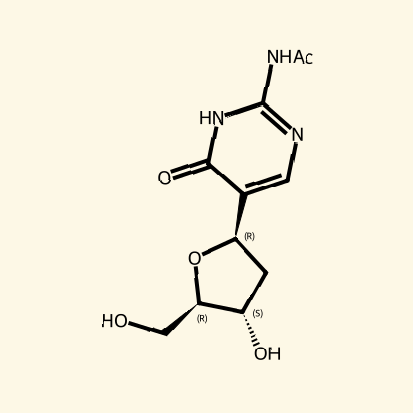 CC(=O)Nc1ncc([C@H]2C[C@H](O)[C@@H](CO)O2)c(=O)[nH]1